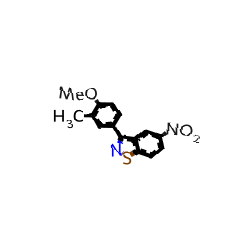 COc1ccc(-c2nsc3ccc([N+](=O)[O-])cc23)cc1C